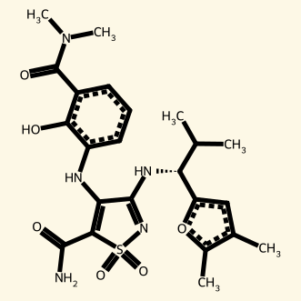 Cc1cc([C@H](NC2=NS(=O)(=O)C(C(N)=O)=C2Nc2cccc(C(=O)N(C)C)c2O)C(C)C)oc1C